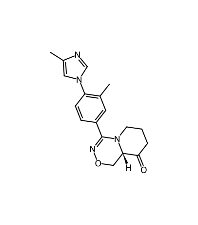 Cc1cn(-c2ccc(C3=NOC[C@H]4C(=O)CCCN34)cc2C)cn1